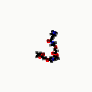 CN(C)C(C)(C)C#CC(=O)N1CC(OCCC(=O)OC(C)(C)CN2CC(OCCC(=O)OC(C)(C)C)C2)C1